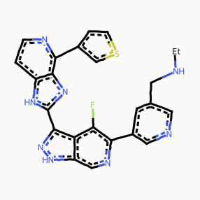 CCNCc1cncc(-c2ncc3[nH]nc(-c4nc5c(-c6ccsc6)nccc5[nH]4)c3c2F)c1